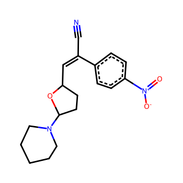 N#C/C(=C/C1CCC(N2CCCCC2)O1)c1ccc([N+](=O)[O-])cc1